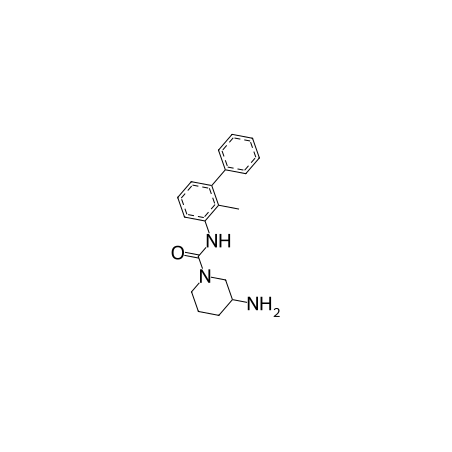 Cc1c(NC(=O)N2CCCC(N)C2)cccc1-c1ccccc1